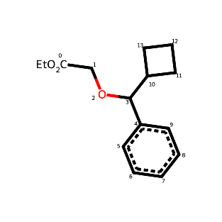 CCOC(=O)COC(c1ccccc1)C1CCC1